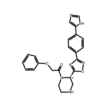 O=C(COc1ccccc1)N1CCNC[C@@H]1c1nc(-c2ccc(-c3cnc[nH]3)cc2)no1